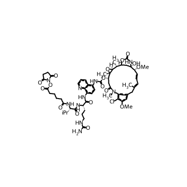 COc1cc2cc(c1Cl)N(C)C(=O)C[C@H](OC(=O)Nc1ccc(NC(=O)[C@H](CCCNC(N)=O)NC(=O)[C@@H](NC(=O)CCCCC(=O)ON3C(=O)CCC3=O)C(C)C)c3ncccc13)[C@]1(C)O[C@H]1[C@H](C)[C@@H]1C[C@@](O)(NC(=O)O1)[C@H](OC)/C=C/C=C(\C)C2